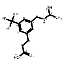 CC(S)NCc1cc(CCC(=O)O)cc(C(F)(F)F)c1